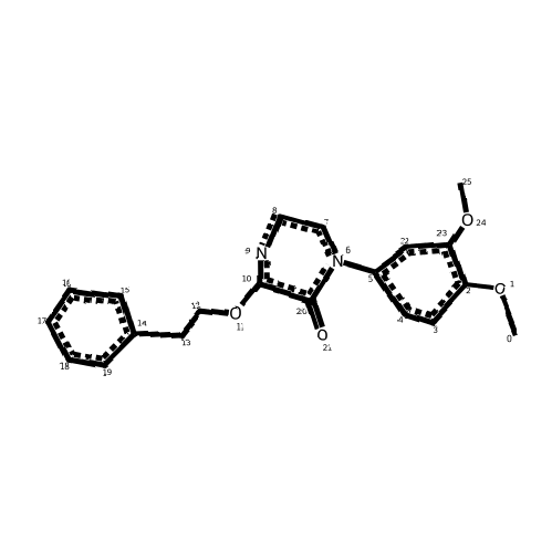 COc1ccc(-n2ccnc(OCCc3ccccc3)c2=O)cc1OC